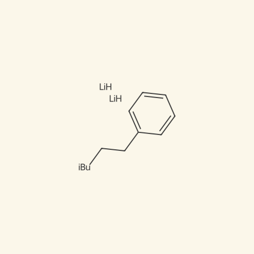 CCC(C)CCc1ccccc1.[LiH].[LiH]